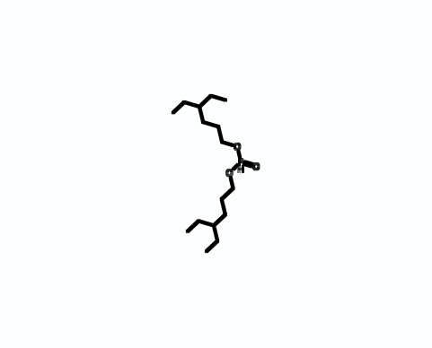 CCC(CC)CCCO[PH](=O)OCCCC(CC)CC